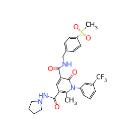 Cc1c(C(=O)NN2CCCC2)cc(C(=O)NCc2ccc(S(C)(=O)=O)cc2)c(=O)n1-c1cccc(C(F)(F)F)c1